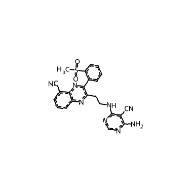 CS(=O)(=O)c1ccccc1-c1nc2c(C#N)cccc2nc1CCNc1ncnc(N)c1C#N